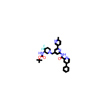 Cc1ccc(-c2cc(CN3CCC(F)(F)[C@H](NC(=O)OC(C)(C)C)C3)cc(NC(=O)c3cc(-c4ccccc4)ccn3)n2)cn1